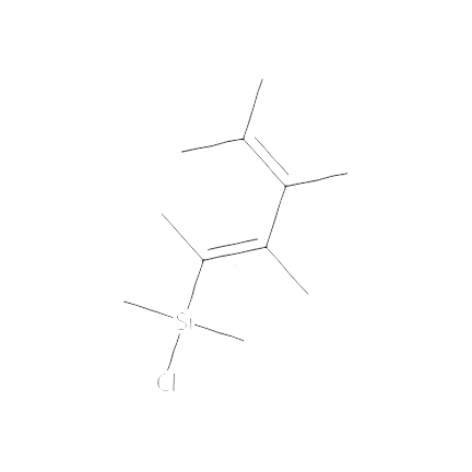 CC(C)=C(C)/C(C)=C(\C)[Si](C)(C)Cl